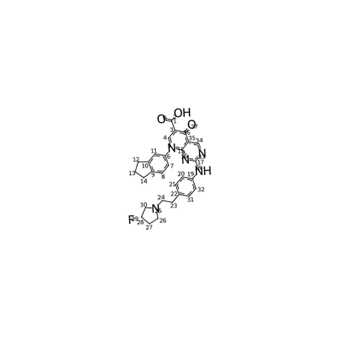 O=C(O)c1cn(-c2ccc3c(c2)CCC3)c2nc(Nc3ccc(CCN4CC[C@H](F)C4)cc3)ncc2c1=O